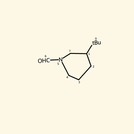 CC(C)(C)C1CCCN(C=O)C1